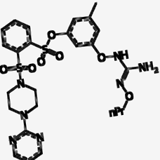 CCCON=C(N)NOc1cc(C)cc(OS(=O)(=O)c2ccccc2S(=O)(=O)N2CCN(c3ncccn3)CC2)c1